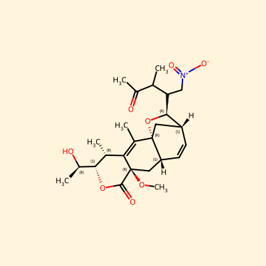 CO[C@]12C[C@H]3C=C[C@@H]4C[C@]3(O[C@H]4C(C[N+](=O)[O-])C(C)C(C)=O)C(C)=C1[C@@H](C)[C@@H]([C@@H](C)O)OC2=O